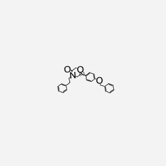 O=C1CO[C@@H](c2ccc(OCc3ccccc3)cc2)CN1CCc1ccccc1